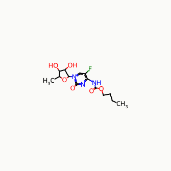 CCCCOC(=O)Nc1nc(=O)n(C2OC(C)C(O)C2O)cc1F